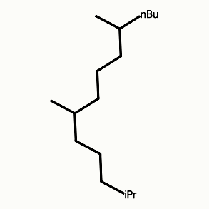 [CH2]C(C)CCCC(C)CCCC(C)CCCC